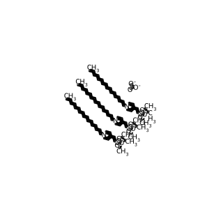 CCCCCCCCCCCCCCCCCC[n+]1ccc(CC[Si](OCC)(OCC)OCC)cc1.CCCCCCCCCCCCCCCCCC[n+]1ccc(CC[Si](OCC)(OCC)OCC)cc1.CCCCCCCCCCCCCCCCCC[n+]1ccc(CC[Si](OCC)(OCC)OCC)cc1.[O-]B([O-])[O-]